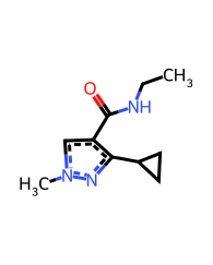 CCNC(=O)c1cn(C)nc1C1CC1